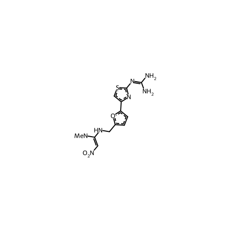 CNC(=C[N+](=O)[O-])NCc1ccc(-c2csc(N=C(N)N)n2)o1